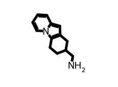 NCC1CCc2c(cc3ccccn23)C1